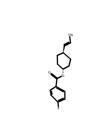 N#C/C=C/[C@H]1CC[C@H](OC(=O)c2ccc(F)cc2)CC1